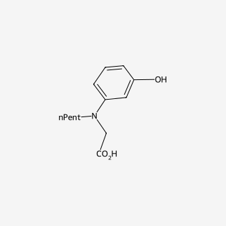 CCCCCN(CC(=O)O)c1cccc(O)c1